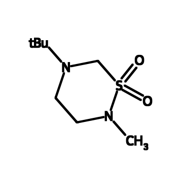 CN1CCN(C(C)(C)C)CS1(=O)=O